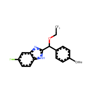 COc1ccc(C(OCC(F)(F)F)c2nc3cc(F)ccc3[nH]2)cc1